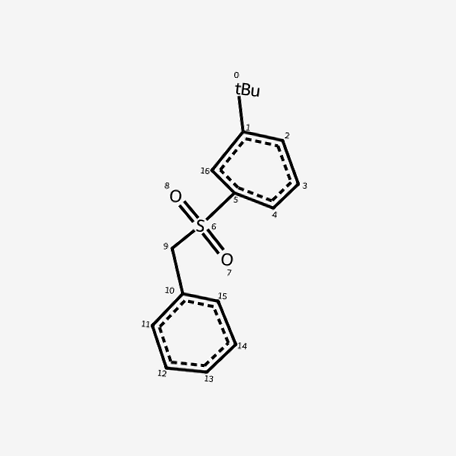 CC(C)(C)c1cccc(S(=O)(=O)Cc2ccccc2)c1